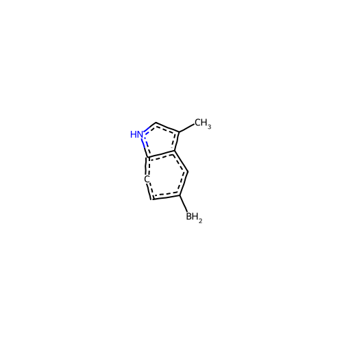 Bc1ccc2[nH]cc(C)c2c1